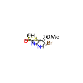 COCc1c(Br)cnc2nc([S+](C)[O-])sc12